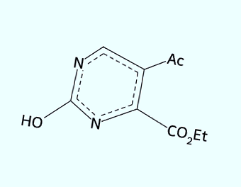 CCOC(=O)c1nc(O)ncc1C(C)=O